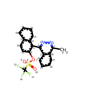 Cc1nnc(-c2c(OS(=O)(=O)C(F)(F)F)ccc3ccccc23)c2ccccc12